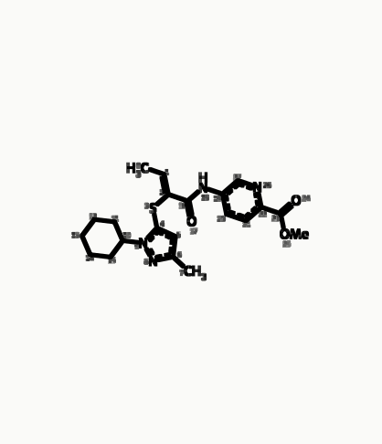 C/C=C(\Sc1cc(C)nn1C1CCCCC1)C(=O)Nc1ccc(C(=O)OC)nc1